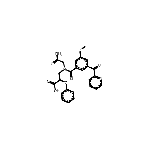 COc1cc(C(=O)c2ccccn2)cc(C(=O)N(CC(N)=O)CC(Oc2ccccc2)C(=O)O)c1